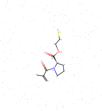 C=C(C)C(=O)N1CCC[C@@H]1C(=O)OCCS